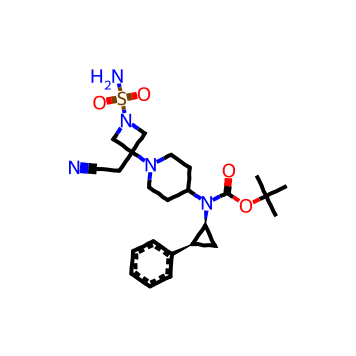 CC(C)(C)OC(=O)N(C1CCN(C2(CC#N)CN(S(N)(=O)=O)C2)CC1)[C@H]1C[C@H]1c1ccccc1